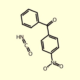 N=C=O.O=C(c1ccccc1)c1ccc([N+](=O)[O-])cc1